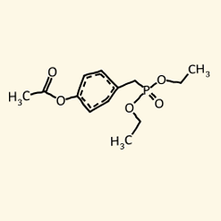 CCOP(=O)(Cc1ccc(OC(C)=O)cc1)OCC